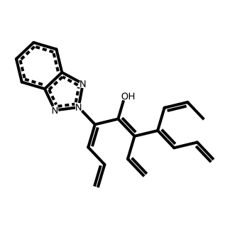 C=C/C=C(\C=C/C)C(/C=C)=C(O)/C(=C\C=C)n1nc2ccccc2n1